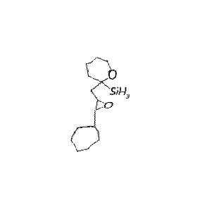 [SiH3]C1(CC2OC2C2CCCCC2)CCCCO1